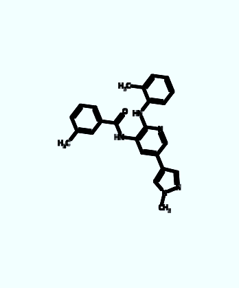 Cc1cccc(C(=O)Nc2cc(-c3cnn(C)c3)cnc2Nc2ccccc2C)c1